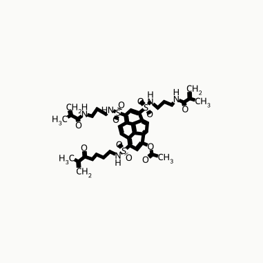 C=C(C)C(=O)CCCCNS(=O)(=O)c1cc(OC(C)=O)c2ccc3c(S(=O)(=O)NCCCNC(=O)C(=C)C)cc(S(=O)(=O)NCCCNC(=O)C(=C)C)c4ccc1c2c34